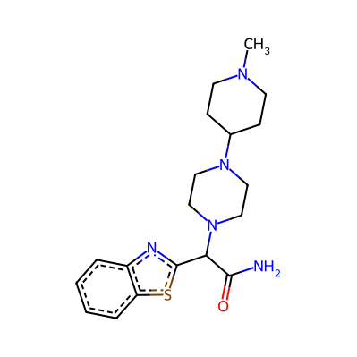 CN1CCC(N2CCN(C(C(N)=O)c3nc4ccccc4s3)CC2)CC1